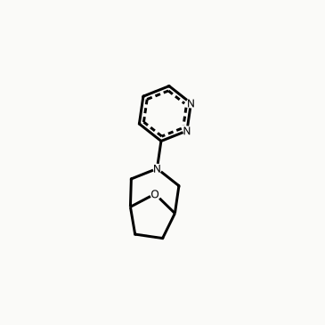 c1cnnc(N2CC3CCC(C2)O3)c1